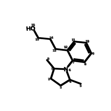 CC1CCC(C)N1c1ccccc1CCCO